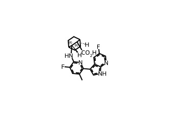 Cc1cc(F)c(N[C@@H]2C3CCC(CC3)[C@H]2C(=O)O)nc1-c1c[nH]c2ncc(F)cc12